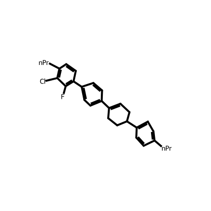 CCCc1ccc(C2CC=C(c3ccc(-c4ccc(CCC)c(Cl)c4F)cc3)CC2)cc1